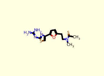 CC(=S)N(C)CCc1ccc(-c2csc(N=C(N)N)n2)o1